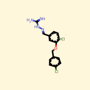 Cl.N=C(N)N/N=C/c1cccc(OCc2ccc(Cl)cc2)c1